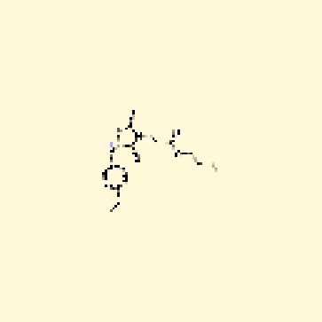 CCCCOC(=O)CCN1C(=O)/C(=C\c2ccc(CC)cc2)SC1=S